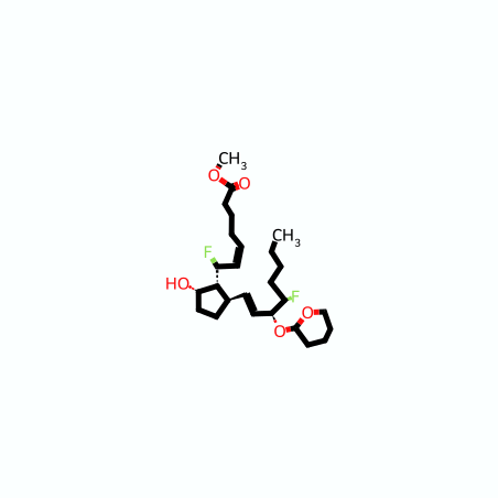 CCCC[C@@H](F)[C@@H](/C=C/[C@H]1CC[C@H](O)[C@@H]1C(F)/C=C\CCCC(=O)OC)OC1CCCCO1